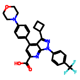 O=C(O)c1cc(-c2ccc(N3CCOCC3)cc2)c2c(C3CCC3)nn(-c3ccc(C(F)(F)F)cc3)c2n1